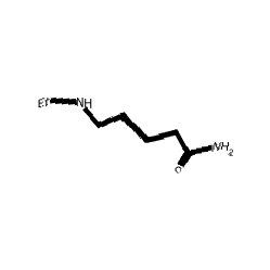 CCNCCCCC(N)=O